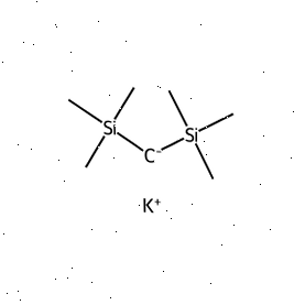 C[Si](C)(C)[CH-][Si](C)(C)C.[K+]